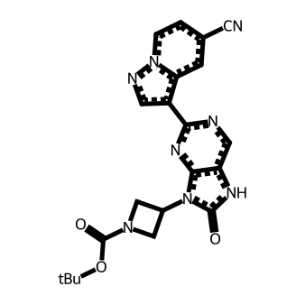 CC(C)(C)OC(=O)N1CC(n2c(=O)[nH]c3cnc(-c4cnn5ccc(C#N)cc45)nc32)C1